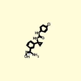 N/C(=N\O)c1cccc(C2(NC(=O)Nc3ccc(Cl)cc3)CC2)c1